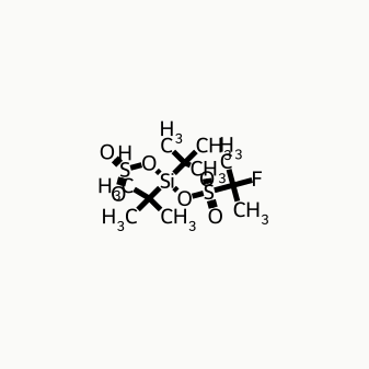 CC(C)(C)[Si](O[SH](=O)=O)(OS(=O)(=O)C(C)(C)F)C(C)(C)C